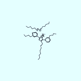 CCCCCCCCC1=C(c2cccc(CCCC)c2)[N+](=[N-])C(c2cccc(CCCC)c2)=C1.CCCCC[CH2][Pd][CH2]CCCCC